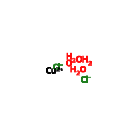 O.O.O.[Cl-].[Cl-].[Cu+2]